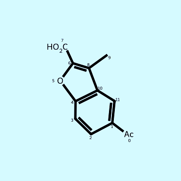 CC(=O)c1ccc2oc(C(=O)O)c(C)c2c1